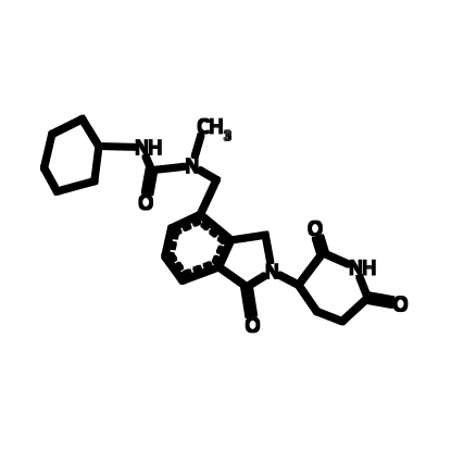 CN(Cc1cccc2c1CN(C1CCC(=O)NC1=O)C2=O)C(=O)NC1CCCCC1